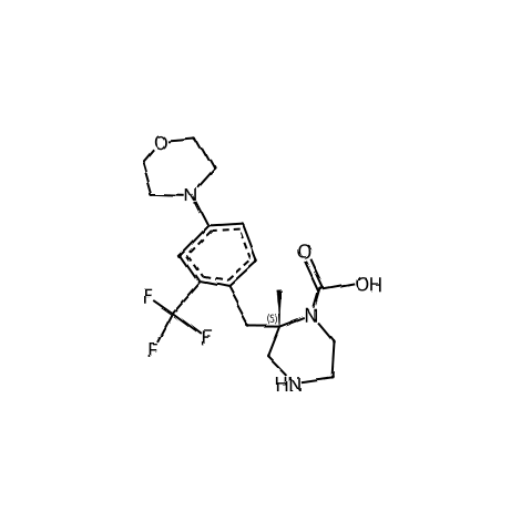 C[C@]1(Cc2ccc(N3CCOCC3)cc2C(F)(F)F)CNCCN1C(=O)O